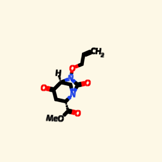 C=CCON1C(=O)N2C[C@H]1C(=O)C[C@H]2C(=O)OC